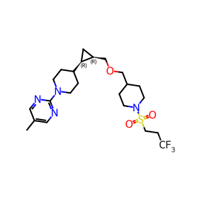 Cc1cnc(N2CCC([C@H]3C[C@H]3COCC3CCN(S(=O)(=O)CCC(F)(F)F)CC3)CC2)nc1